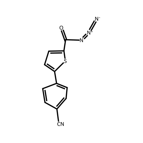 N#Cc1ccc(-c2ccc(C(=O)N=[N+]=[N-])s2)cc1